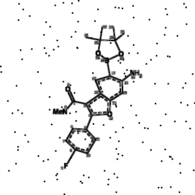 CNC(=O)c1c(-c2ccc(F)cc2)oc2cc(N)c(B3OC(C)(C)C(C)(C)O3)cc12